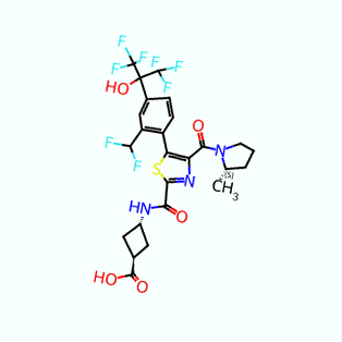 C[C@H]1CCCN1C(=O)c1nc(C(=O)N[C@H]2C[C@H](C(=O)O)C2)sc1-c1ccc(C(O)(C(F)(F)F)C(F)(F)F)cc1C(F)F